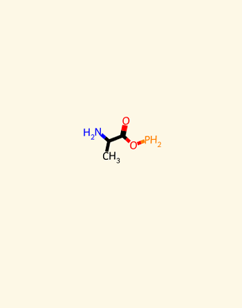 CC(N)C(=O)OP